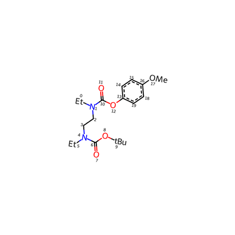 CCN(CCN(CC)C(=O)OC(C)(C)C)C(=O)Oc1ccc(OC)cc1